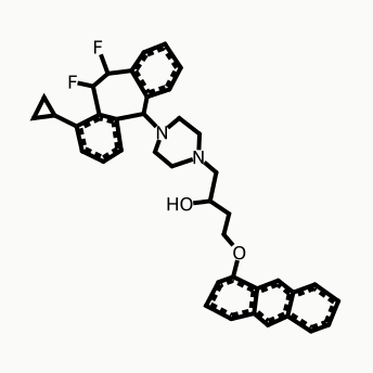 OC(CCOc1cccc2cc3ccccc3cc12)CN1CCN(C2c3ccccc3C(F)C(F)c3c(C4CC4)cccc32)CC1